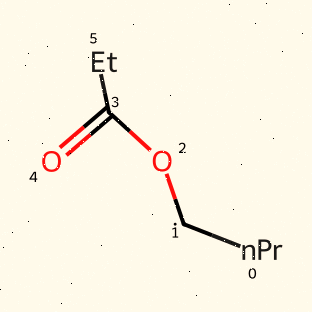 CCC[CH]OC(=O)CC